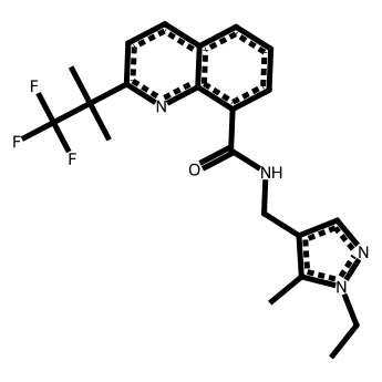 CCn1ncc(CNC(=O)c2cccc3ccc(C(C)(C)C(F)(F)F)nc23)c1C